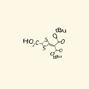 CC(C)(C)OC(=O)C(C(=O)OC(C)(C)C)=C1SC(C(=O)O)S1